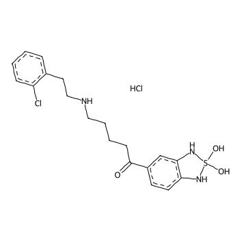 Cl.O=C(CCCCNCCc1ccccc1Cl)c1ccc2c(c1)NS(O)(O)N2